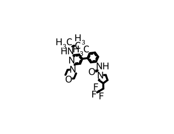 Cc1ccc(NC(=O)N2CCC(CC(F)(F)F)C2)cc1-c1cc(NC(C)C)nc(N2CCOCC2)c1